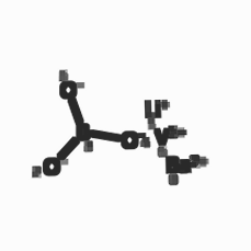 [Ba+2].[Li+].[O-]B([O-])[O-].[V+5]